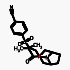 CC(C)C(=O)N1CC2CCC(C1)N2CCCS(=O)(=O)c1ccc(C#N)cc1